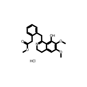 COC(=O)Cc1ccccc1CC1=NCCc2cc(OC)c(OC)c(O)c21.Cl